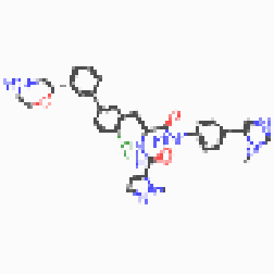 Cn1cncc1-c1ccc(NC(=O)C(Cc2cc(-c3cccc([C@H]4CNCCO4)c3)ccc2Cl)NC(=O)c2ccnn2C)cc1